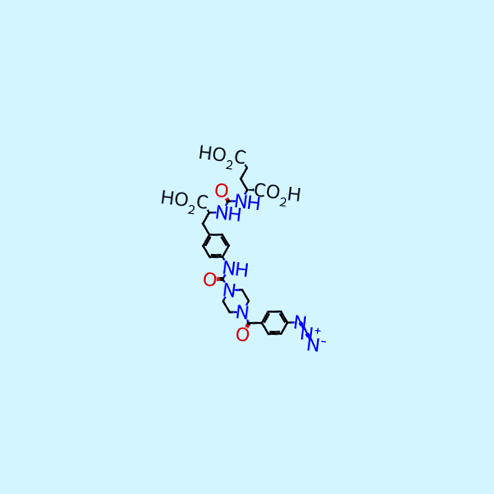 [N-]=[N+]=Nc1ccc(C(=O)N2CCN(C(=O)Nc3ccc(C[C@H](NC(=O)N[C@@H](CCC(=O)O)C(=O)O)C(=O)O)cc3)CC2)cc1